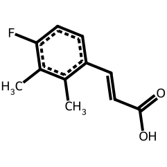 Cc1c(F)ccc(C=CC(=O)O)c1C